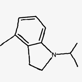 Cc1cccc2c1CCN2C(C)C